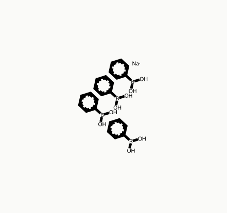 OB(O)c1ccccc1.OB(O)c1ccccc1.OB(O)c1ccccc1.OB(O)c1ccccc1.[Na]